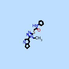 CCn1c(SCC(=O)Nc2ccccc2)nnc1-c1cnc2c(c1)CCC2